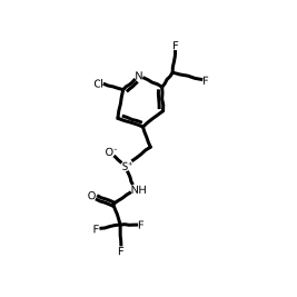 O=C(N[S+]([O-])Cc1cc(Cl)nc(C(F)F)c1)C(F)(F)F